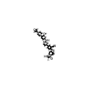 COc1nc(Nc2nccc(-c3ccc(O[C@H]4CCN(C(=O)[C@H](C)O)CC4(F)F)c(C#N)c3)n2)ccc1N1CCN(C2COC2)CC1